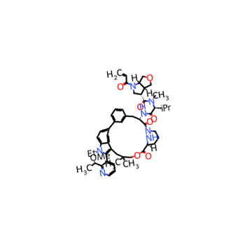 C=CC(=O)N1C[C@@H](C(=O)N(C)[C@H](C(=O)N[C@H]2Cc3cccc(c3)-c3ccc4c(c3)c(c(-c3cccnc3[C@H](C)OC)n4CC)CC(C)(C)COC(=O)[C@@H]3CCCN(N3)C2=O)C(C)C)[C@H]2COC[C@H]21